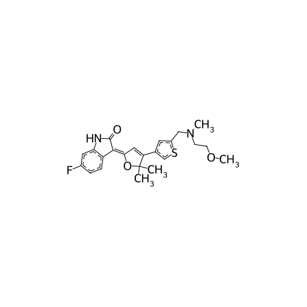 COCCN(C)Cc1cc(C2=C/C(=C3\C(=O)Nc4cc(F)ccc43)OC2(C)C)cs1